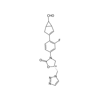 O=CC1C2C=C(c3ccc(N4C[C@H](Cn5ccnn5)OC4=O)cc3F)CC12